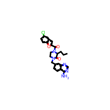 CCCC1C(=O)N(Cc2ccc3c(N)ncnc3c2)CCN1C(=O)c1cc2cc(Cl)ccc2o1